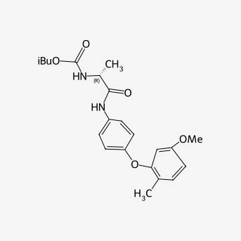 COc1ccc(C)c(Oc2ccc(NC(=O)[C@@H](C)NC(=O)OCC(C)C)cc2)c1